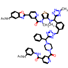 CC(=O)Nc1cccc(NC(=O)c2ccnc(C(=O)N3CCN(C(c4ccccc4)c4nnn(Cc5cccc(C(c6nnn(C)n6)N(C)c6cscc6N(C)C(=O)c6cc(-c7nc8cc(NC(C)=O)ccc8o7)ccn6)c5)n4)CC3)c2)c1